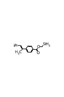 C/C(=C\C(C)C)c1ccc(C(=O)OC[SiH3])cc1